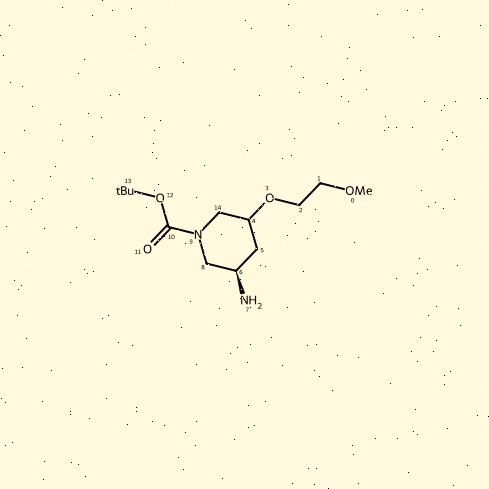 COCCOC1C[C@@H](N)CN(C(=O)OC(C)(C)C)C1